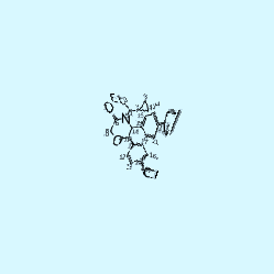 CC[C@@H](C1CC1)N1C(=O)CO[C@H](c2ccc(Cl)cc2)[C@@H]1c1ccc(Cl)cc1